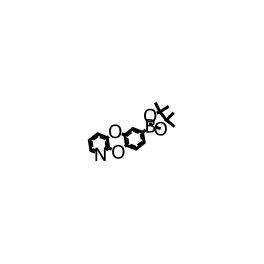 CC1(C)OB(c2ccc3c(c2)Oc2cccnc2O3)OC1(C)C